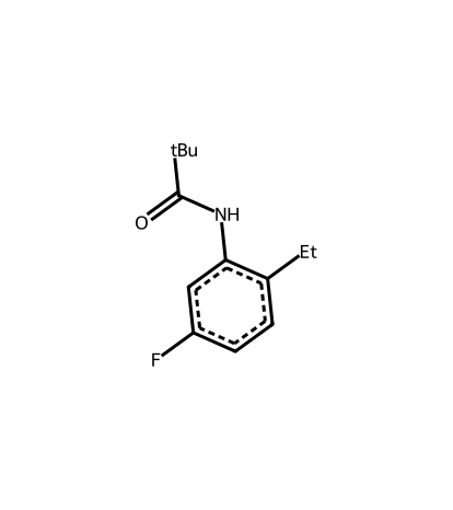 CCc1ccc(F)cc1NC(=O)C(C)(C)C